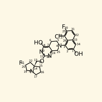 Oc1cc(N2CCc3c(O)nc(OC[C@@]45CCCN4C[C@H](F)C5)nc3C2)c2c(Cl)c(F)ccc2c1